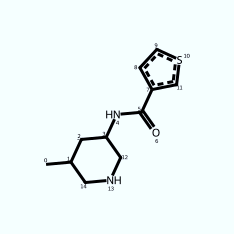 CC1[CH]C(NC(=O)c2ccsc2)CNC1